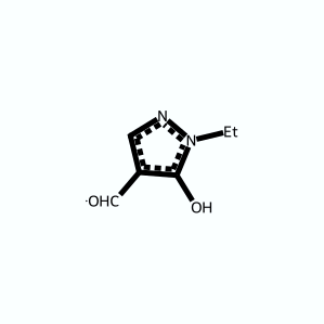 CCn1ncc([C]=O)c1O